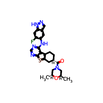 C[C@@H]1CN(C(=O)[C@H]2CCc3c(sc4ncnc(Nc5cc6cn[nH]c6cc5F)c34)C2)C[C@@H](C)O1